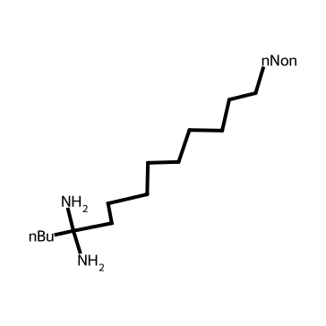 CCCCCCCCCCCCCCCCCCC(N)(N)CCCC